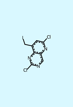 Clc1cc(CI)c2nc(Cl)ncc2n1